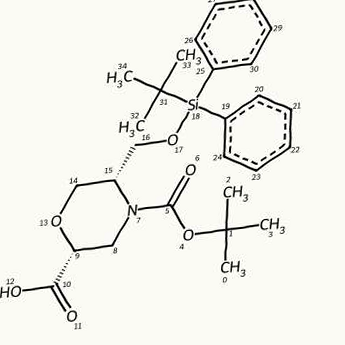 CC(C)(C)OC(=O)N1C[C@H](C(=O)O)OC[C@@H]1CO[Si](c1ccccc1)(c1ccccc1)C(C)(C)C